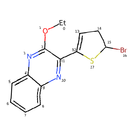 CCOc1nc2ccccc2nc1C1=CCC(Br)S1